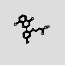 O=C(O)CCOc1cc(Br)ccc1[C@@H]1CC(=O)c2cccc(Cl)c2O1